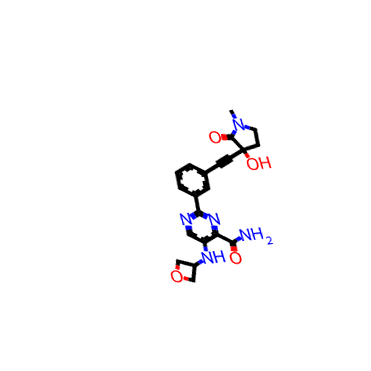 CN1CCC(O)(C#Cc2cccc(-c3ncc(NC4COC4)c(C(N)=O)n3)c2)C1=O